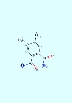 Cc1cc(C(N)=O)c(C(N)=O)cc1C